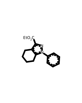 CCOC(=O)c1nn(-c2ccccc2)c2c1CCCC2